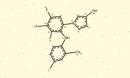 Cc1cc(I)ccc1Nc1c(-n2cc(O)nn2)cc(F)c(F)c1F